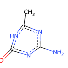 Cc1nc(N)nc(=O)[nH]1